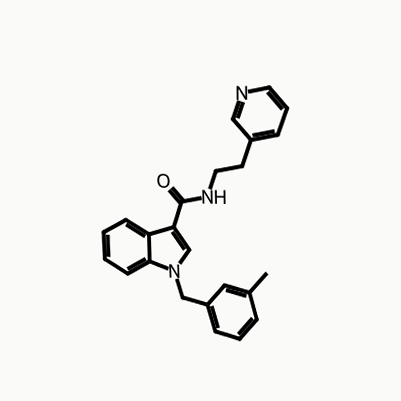 Cc1cccc(Cn2cc(C(=O)NCCc3cccnc3)c3ccccc32)c1